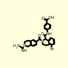 N=C(N)N1CCc2cc(C(=O)N3CCc4c(Br)cccc4C3C(=O)Nc3ccc(C(=O)O)cc3)ccc2C1